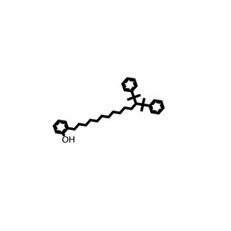 CC(C)(c1ccccc1)C(CCCCCCCCCCCc1ccccc1O)C(C)(C)c1ccccc1